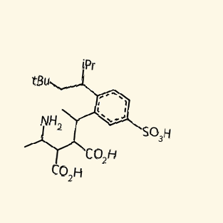 CC(C)C(CC(C)(C)C)c1ccc(S(=O)(=O)O)cc1C(C)C(C(=O)O)C(C(=O)O)C(C)N